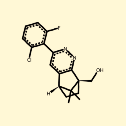 CC1(C)[C@@H]2CC[C@@]1(CO)c1nnc(-c3c(F)cccc3Cl)cc12